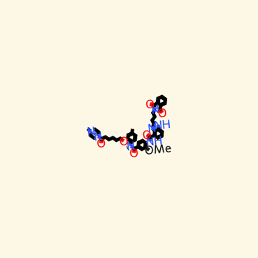 COc1cc(C(=O)N(C)c2ccc(C)cc2OCCCCCC(=O)N2CCN(C)CC2)ccc1NC(=O)c1cccc2[nH]c(CCCN3C(=O)c4ccccc4C3=O)nc12